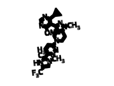 COc1ncnc(C2CC2)c1-c1nn(C)c2c1CN(c1ccc(C3(C)NC(C(F)(F)F)=CN3C)nn1)CC2